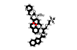 CC(C)(C)OC(=O)N(Cc1ccc(CN(C(COCC[Si](C)(C)C)c2ncc(-c3ccc4c(c3)CCCC4)[nH]2)C2CCCc3cccnc32)cc1)Cc1ccccn1